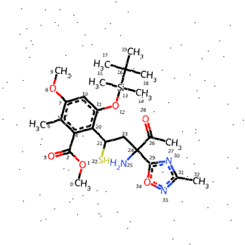 COC(=O)c1c(C)c(OC)cc(O[Si](C)(C)C(C)(C)C)c1C(S)CC(N)(C(C)=O)c1nc(C)no1